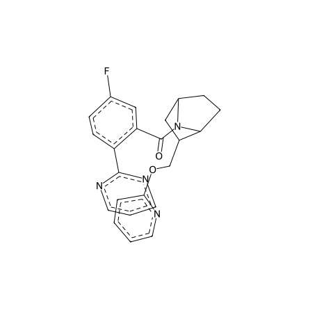 O=C(c1cc(F)ccc1-c1ncccn1)N1C2CCC1C(COc1ccccn1)C2